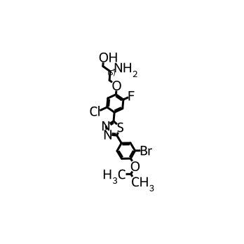 CC(C)Oc1ccc(-c2nnc(-c3cc(F)c(OC[C@@H](N)CO)cc3Cl)s2)cc1Br